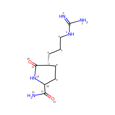 N=C(N)NCCC[C@@H]1CCC(C(N)=O)NC1=O